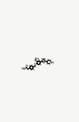 COc1cc(-c2noc(C3CCNCC3)n2)ccc1OCc1ccc(CC(=O)O)cc1